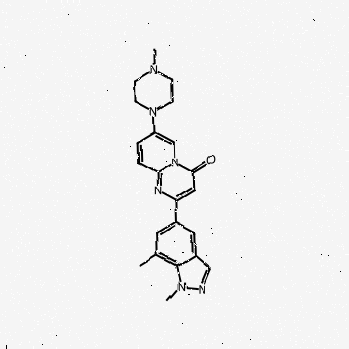 Cc1cc(-c2cc(=O)n3cc(N4CCN(C)CC4)ccc3n2)cc2cnn(C)c12